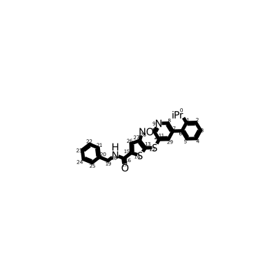 CC(C)c1ccccc1-c1cncc(Sc2sc(C(=O)NCc3ccccc3)cc2[N+](=O)[O-])c1